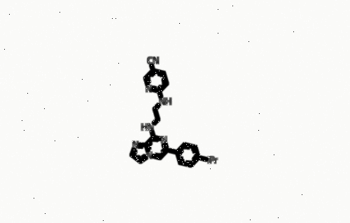 CC(C)c1ccc(-c2cn3ccnc3c(NCCNc3ccc(C#N)cn3)n2)cc1